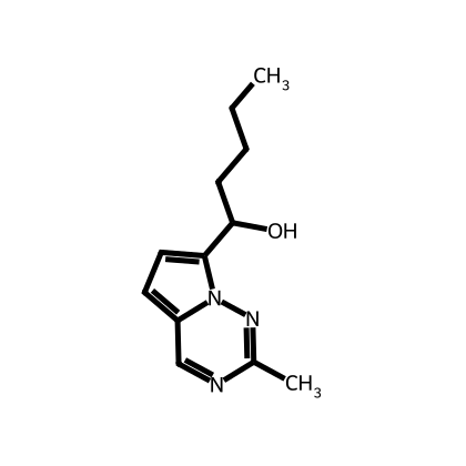 CCCCC(O)c1ccc2cnc(C)nn12